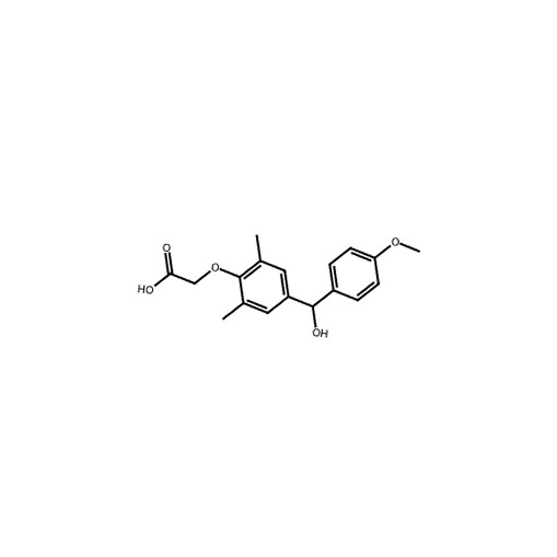 COc1ccc(C(O)c2cc(C)c(OCC(=O)O)c(C)c2)cc1